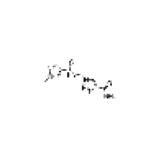 Cn1cc(C(=O)NCn2cc(C(N)=O)nn2)cn1